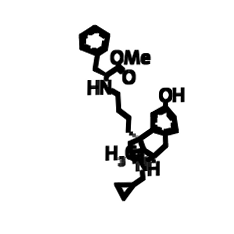 COC(=O)[C@H](Cc1ccccc1)NCCCC[C@]12CCN(CC3CC3)[C@H](Cc3ccc(O)cc31)[C@@H]2C